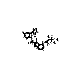 CC(C)(C)CC(=O)Nc1cccc2cc(C(=O)Nc3ccc(Br)cc3-c3nnn[nH]3)[nH]c12